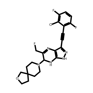 FCC1=Nc2c(C#Cc3c(F)ccc(F)c3Cl)n[nH]c2NC1N1CCC2(CCOC2)CC1